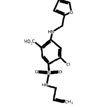 C=CCNS(=O)(=O)c1cc(C(=O)O)c(NCc2ccco2)cc1Cl